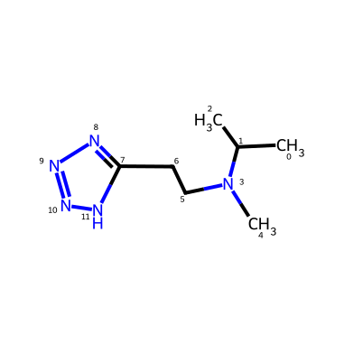 CC(C)N(C)CCc1nnn[nH]1